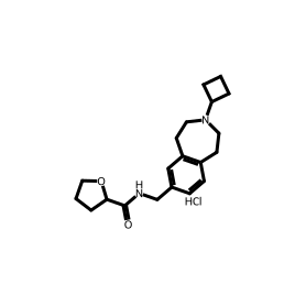 Cl.O=C(NCc1ccc2c(c1)CCN(C1CCC1)CC2)C1CCCO1